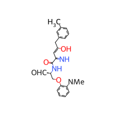 CNc1ccccc1OC[C@@H](C=O)NC(=O)C(=N)/C=C(\O)Cc1cccc(C)c1